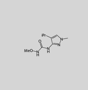 CONC(=O)Nc1nn(C)cc1C(C)C